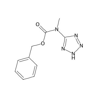 CN(C(=O)OCc1ccccc1)c1nn[nH]n1